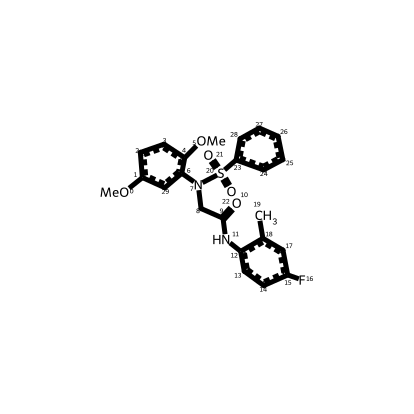 COc1ccc(OC)c(N(CC(=O)Nc2ccc(F)cc2C)S(=O)(=O)c2ccccc2)c1